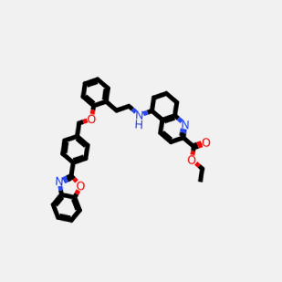 CCOC(=O)c1ccc2c(n1)CCCC2NCCc1ccccc1OCc1ccc(-c2nc3ccccc3o2)cc1